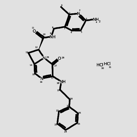 Cc1nc(N)ccc1CNC(=O)[C@@H]1Cc2cnc(NCCc3ccccc3)c(=O)n21.Cl.Cl